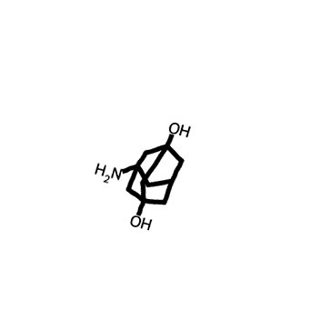 NC12CC3CC(O)(C1)CC(O)(C3)C2